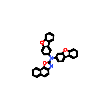 c1ccc2c(c1)ccc1nc(N(c3ccc4c(c3)oc3ccccc34)c3ccc4oc5ccccc5c4c3)oc12